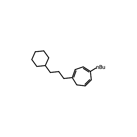 CCCCC1=CC=C(CCCC2CCCCC2)CC=C1